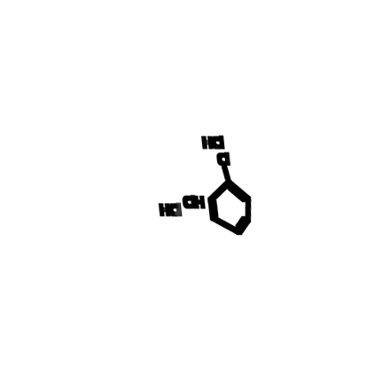 Cl.Cl.Cl.Clc1ccccc1